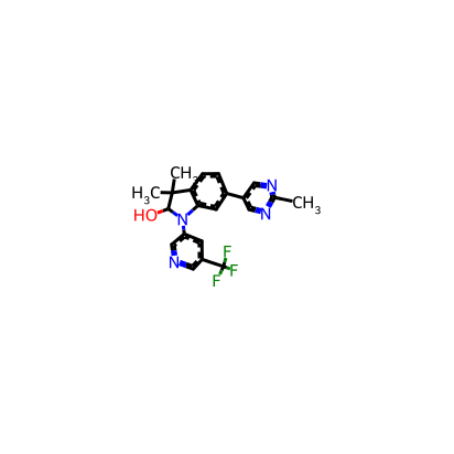 Cc1ncc(-c2ccc3c(c2)N(c2cncc(C(F)(F)F)c2)C(O)C3(C)C)cn1